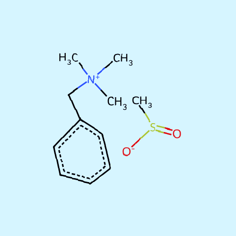 CS(=O)[O-].C[N+](C)(C)Cc1ccccc1